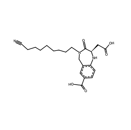 N#CCCCCCCCCN1Cc2cc(C(=O)O)ccc2N[C@H](CC(=O)O)C1=O